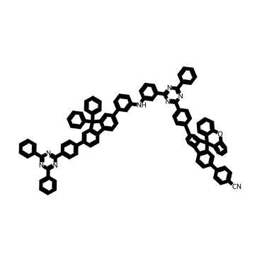 N#Cc1ccc(-c2ccc3c(c2)C2(c4ccccc4Oc4ccccc42)c2cc(-c4ccc(-c5nc(-c6ccccc6)nc(-c6cccc(Nc7cccc(-c8ccc9c(c8)C(c8ccccc8)(c8ccccc8)c8cc(-c%10ccc(-c%11nc(-c%12ccccc%12)nc(-c%12ccccc%12)n%11)cc%10)ccc8-9)c7)c6)n5)cc4)ccc2-3)cc1